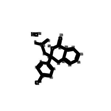 CN(C)CC1(c2ccc(Cl)cc2)Cc2ccccc2C(=O)O1.Cl